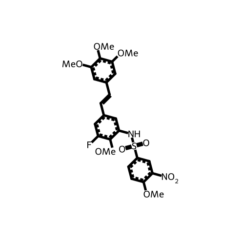 COc1ccc(S(=O)(=O)Nc2cc(C=Cc3cc(OC)c(OC)c(OC)c3)cc(F)c2OC)cc1[N+](=O)[O-]